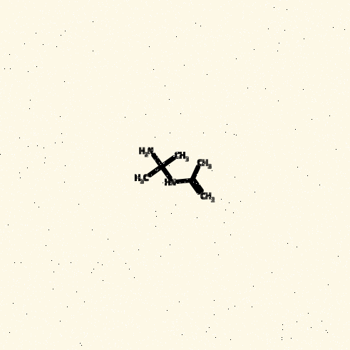 C=C(C)NC(C)(C)N